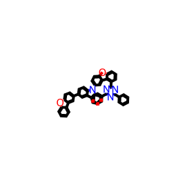 c1ccc(-c2nc(-c3ccccc3)nc(-c3cccc4oc5ccc(-n6c7ccccc7c7cc(-c8ccc9oc%10ccccc%10c9c8)ccc76)cc5c34)n2)cc1